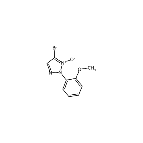 COc1ccccc1-n1ncc(Br)[n+]1[O-]